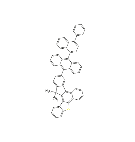 CC1(C)c2ccc(-c3c4ccccc4c(-c4ccc(-c5ccccc5)c5ccccc45)c4ccccc34)cc2-c2c1c1c3ccccc3sc1c1ccccc21